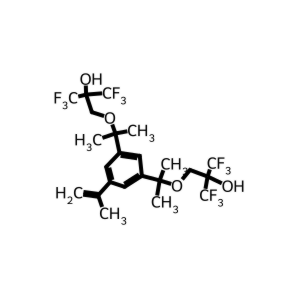 C=C(C)c1cc(C(C)(C)OCC(O)(C(F)(F)F)C(F)(F)F)cc(C(C)(C)OCC(O)(C(F)(F)F)C(F)(F)F)c1